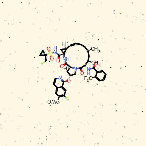 COc1cc2ccnc(O[C@@H]3C[C@H]4C(=O)N[C@]5(C(=O)NS(=O)(=O)C6(CF)CC6)C[C@H]5/C=C\CC[C@@H](C)C[C@@H](C)[C@H](NC(=O)c5ccccc5C(F)(F)F)C(=O)N4C3)c2cc1F